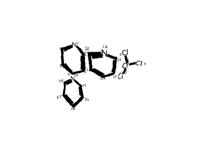 [Cl][Cr]([Cl])[Cl].c1ccncc1.c1ccncc1.c1ccncc1